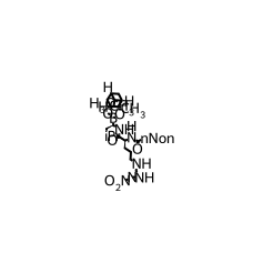 CCCCCCCCCC(=O)N[C@@H](CCCNC1NN1[N+](=O)[O-])C(=O)N[C@@H](CC(C)C)B1O[C@@H]2C[C@@H]3C[C@@H](C3(C)C)[C@]2(C)O1